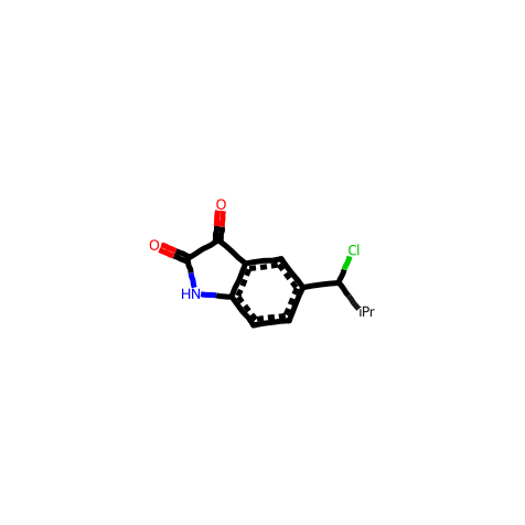 CC(C)C(Cl)c1ccc2c(c1)C(=O)C(=O)N2